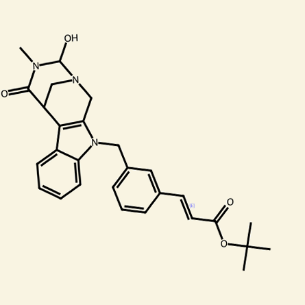 CN1C(=O)C2CN(Cc3c2c2ccccc2n3Cc2cccc(/C=C/C(=O)OC(C)(C)C)c2)C1O